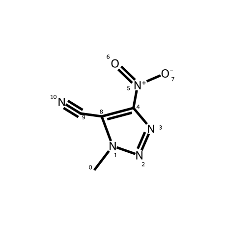 Cn1nnc([N+](=O)[O-])c1C#N